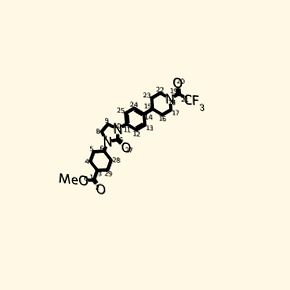 COC(=O)C1CCC(N2CCN(c3ccc(C4CCN(C(=O)C(F)(F)F)CC4)cc3)C2=O)CC1